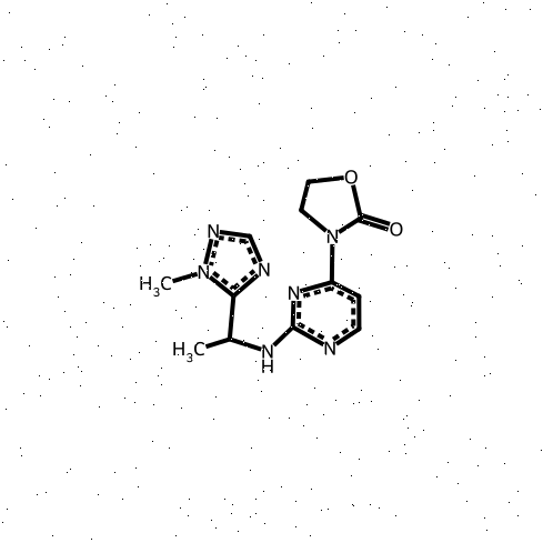 CC(Nc1nccc(N2CCOC2=O)n1)c1ncnn1C